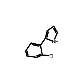 Clc1ccccc1-c1ccc[nH]1